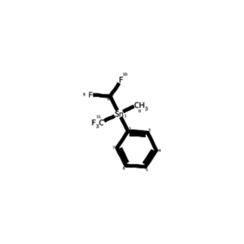 [CH3][Sn]([c]1ccccc1)([CH](F)F)[C](F)(F)F